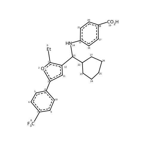 CCc1oc(-c2ccc(C(F)(F)F)cc2)cc1C(Nc1ccc(C(=O)O)cc1)C1CCCCC1